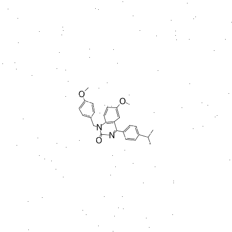 COc1ccc(Cn2c(=O)nc(-c3ccc(C(C)C)cc3)c3cc(OC)ccc32)cc1